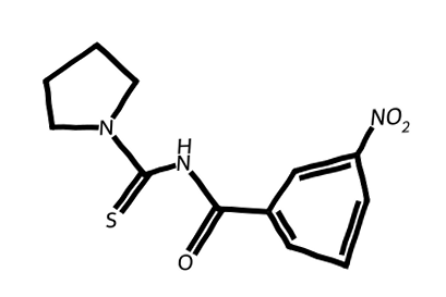 O=C(NC(=S)N1CCCC1)c1cccc([N+](=O)[O-])c1